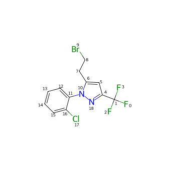 FC(F)(F)c1cc(CCBr)n(-c2ccccc2Cl)n1